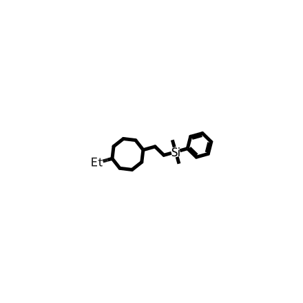 CCC1CCCC(CC[Si](C)(C)c2ccccc2)CCC1